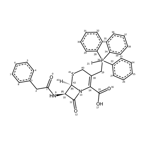 O=C(Cc1ccccc1)N[C@@H]1C(=O)N2C(C(=O)O)=C(CP(I)(c3ccccc3)(c3ccccc3)c3ccccc3)CS[C@H]12